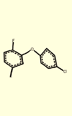 [CH2]c1ccc(F)c(Oc2ccc(Cl)cc2)c1